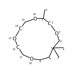 CC1COCC(C)(C)CCOCCOCCO1